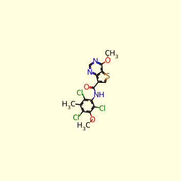 COc1c(Cl)c(C)c(Cl)c(NC(=O)c2csc3c(OC)ncnc23)c1Cl